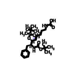 CC(C)(C)OC(=O)N[C@@H](Cc1ccccc1)[C@@H](/C=C/CCCNC(=O)O)O[Si](C)(C)C(C)(C)C